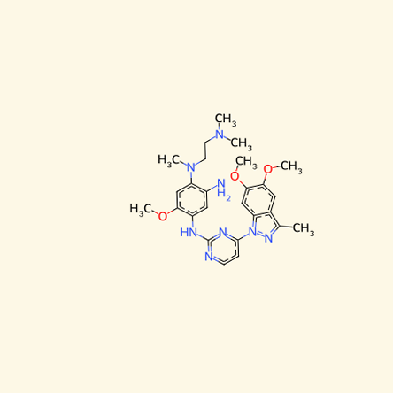 COc1cc(N(C)CCN(C)C)c(N)cc1Nc1nccc(-n2nc(C)c3cc(OC)c(OC)cc32)n1